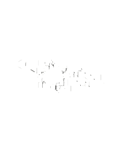 Nc1ncnc2c1ncn2[C@H]1C[C@@H]2OP(O)(=S)OC[C@@H]3C[C@@H](OP(O)(=S)OC[C@H]2O1)[C@H](C#Cc1ccccc1)O3